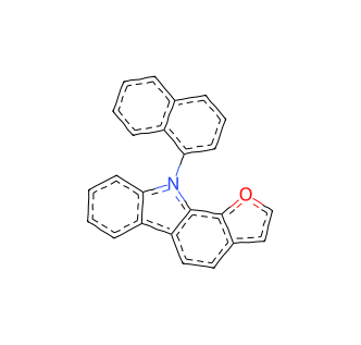 c1ccc2c(-n3c4ccccc4c4ccc5ccoc5c43)cccc2c1